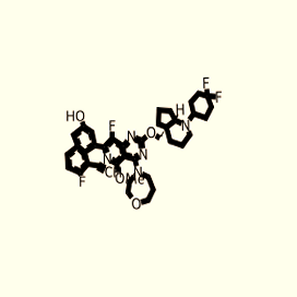 C#Cc1c(F)ccc2cc(O)cc(-c3nc(OC)c4c(N5CCCOCC5)nc(OC[C@]56CCC[C@H]5N(C5CCC(F)(F)CC5)CCC6)nc4c3F)c12